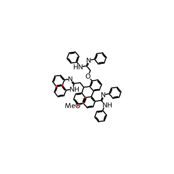 COc1ccc(C(=Nc2ccccc2)Nc2ccccc2)c(-c2cccc(OCC(=Nc3ccccc3)Nc3ccccc3)c2C(CC(=Nc2ccccc2)Nc2ccccc2)c2ccccc2)c1